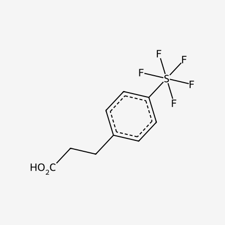 O=C(O)CCc1ccc(S(F)(F)(F)(F)F)cc1